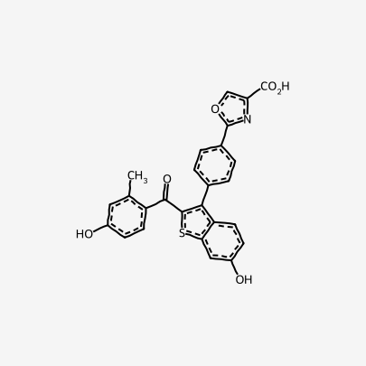 Cc1cc(O)ccc1C(=O)c1sc2cc(O)ccc2c1-c1ccc(-c2nc(C(=O)O)co2)cc1